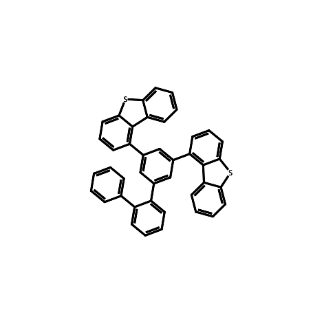 c1ccc(-c2ccccc2-c2cc(-c3cccc4sc5ccccc5c34)cc(-c3cccc4sc5ccccc5c34)c2)cc1